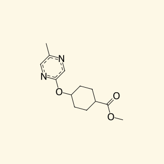 COC(=O)C1CCC(Oc2cnc(C)cn2)CC1